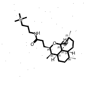 C[C@H]1[C@@H](CCC(=O)NCCC[Si](C)(C)C)O[C@@H]2O[C@]3(C)CC[C@H]4[C@H](C)CC[C@@H]1[C@@]24OO3